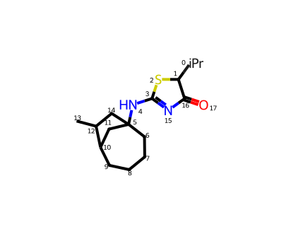 CC(C)C1SC(NC23CCCCC(C2)C(C)C3)=NC1=O